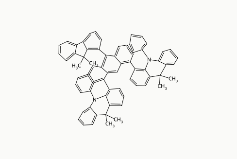 CC1(C)c2ccccc2N(c2ccccc2)c2c(-c3cccc4c(-c5cccc6c5C(C)(C)c5ccccc5-6)c5cccc(-c6cccc7c6N(c6ccccc6)c6ccccc6C7(C)C)c5cc34)cccc21